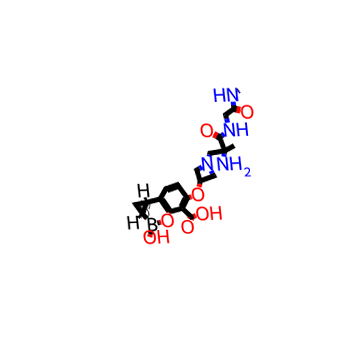 CNC(=O)CNC(=O)C(C)(N)CN1CC(Oc2ccc3c(c2C(=O)O)OB(O)[C@@H]2C[C@H]32)C1